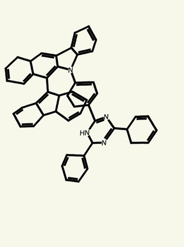 C1=CCC2C=c3c(n(C4=CC=C(C5=NC(C6C=CC=CC6)=NC(c6ccccc6)N5)CC4)c4ccccc34)=C(C3=C4C=CC=CC4C4C=CC=CC34)C2=C1